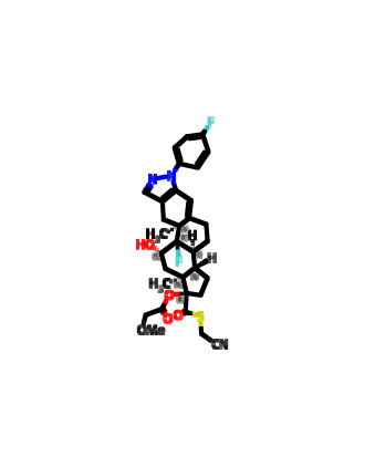 COCC(=O)O[C@]1(C(=O)SCC#N)CC[C@H]2[C@@H]3CCC4=Cc5c(cnn5-c5ccc(F)cc5)C[C@]4(C)[C@@]3(F)[C@@H](O)C[C@@]21C